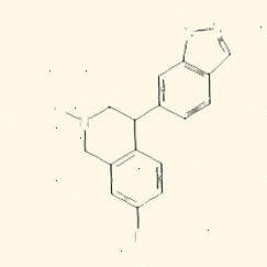 CN1Cc2cc(F)ccc2C(c2ccc3cn[nH]c3c2)C1